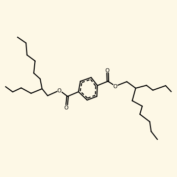 CCCCCCC(CCCC)COC(=O)c1ccc(C(=O)OCC(CCCC)CCCCCC)cc1